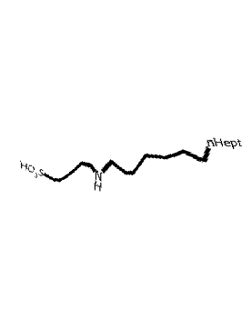 CCCCCCCCCCCCCNCCS(=O)(=O)O